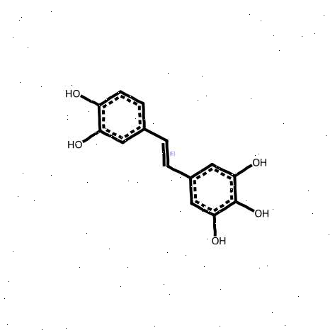 Oc1ccc(/C=C/c2cc(O)c(O)c(O)c2)cc1O